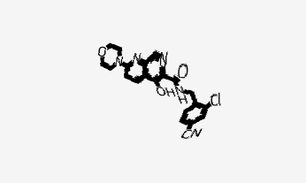 N#Cc1ccc(CNC(=O)c2ncc3nc(N4CCOCC4)ccc3c2O)c(Cl)c1